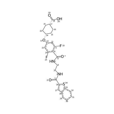 O=C(NCCNC(=O)c1c(F)cc(O[C@H]2CC[C@@H](C(=O)O)CC2)cc1F)c1cc2ccccc2s1